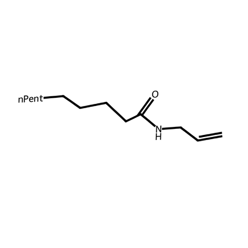 C=CCNC(=O)CCCCCCCCC